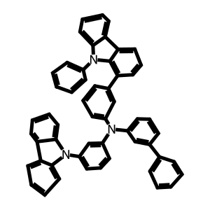 c1ccc(-c2cccc(N(c3cccc(-c4cccc5c6ccccc6n(-c6ccccc6)c45)c3)c3cccc(-n4c5ccccc5c5ccccc54)c3)c2)cc1